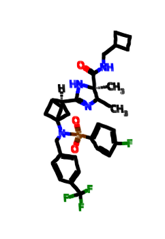 CC1N=C([C@H]2CC3(N(Cc4ccc(C(F)(F)F)cc4)S(=O)(=O)c4ccc(F)cc4)CC2C3)N[C@@]1(C)C(=O)NCC1CCC1